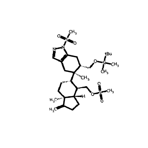 C=C1CC[C@H]2[C@H](COS(C)(=O)=O)[C@@H]([C@@]3(C)Cc4cnn(S(C)(=O)=O)c4C[C@@H]3CO[Si](C)(C)C(C)(C)C)CC[C@]12C